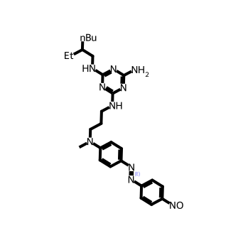 CCCCC(CC)CNc1nc(N)nc(NCCCN(C)c2ccc(/N=N/c3ccc(N=O)cc3)cc2)n1